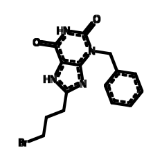 O=c1[nH]c(=O)n(Cc2ccccc2)c2nc(CCCBr)[nH]c12